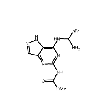 CCCC(N)Nc1nc(NC(=O)OC)nc2cn[nH]c12